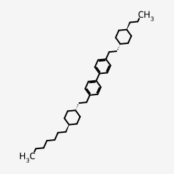 CCCCCCC[C@H]1CC[C@H](CCc2ccc(-c3ccc(CC[C@H]4CC[C@H](CCC)CC4)cc3)cc2)CC1